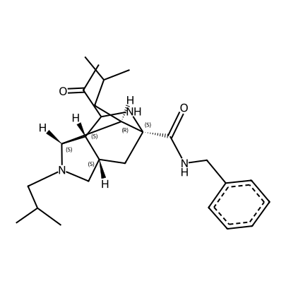 CC(=O)C1N[C@@]2(C(=O)NCc3ccccc3)C[C@@H]3CN(CC(C)C)[C@@H]([C@H]13)[C@H]2CC(C)C